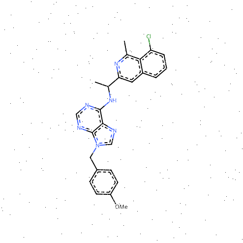 COc1ccc(Cn2cnc3c(NC(C)c4cc5cccc(Cl)c5c(C)n4)ncnc32)cc1